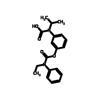 CCN(C(=O)Oc1cccc(N(C(=O)O)C(C)C)c1)c1ccccc1